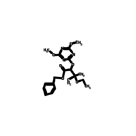 CCOC(C)(C)C(Oc1nc(OC)nc(OC)n1)C(=O)OCc1ccccc1